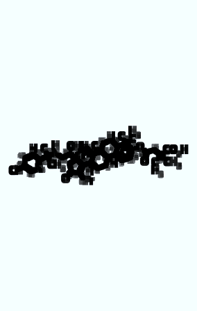 CC(C)C1=C2[C@H]3CC[C@@H]4[C@@]5(C)CC[C@H](OC(=O)CC(C)(C)C(=O)O)C(C)(C)C5CC[C@@]4(C)[C@]3(C)CC[C@@]2([C@@H](O)CNC(C)(C)c2ccc(Cl)cn2)CC1=O